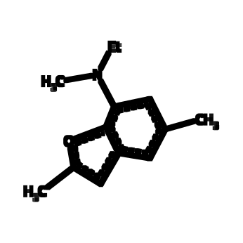 CCN(C)c1cc(C)cc2cc(C)oc12